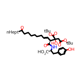 CCCCCCCC(=O)CCCCCC/C=C/[C@H](C(=O)N[C@@H](Cc1ccc(O)cc1)C(=O)O)[C@@](O)(CC(=O)OC(C)(C)C)C(=O)OC(C)(C)C